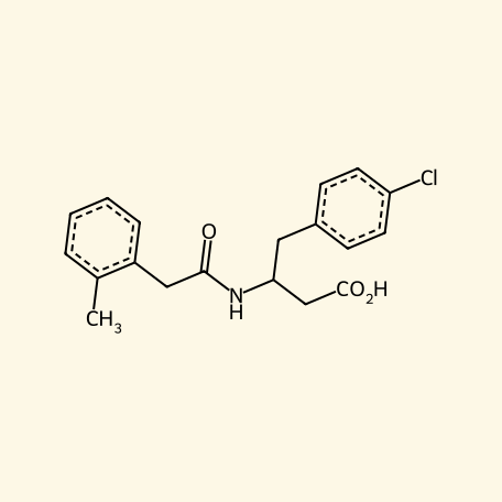 Cc1ccccc1CC(=O)NC(CC(=O)O)Cc1ccc(Cl)cc1